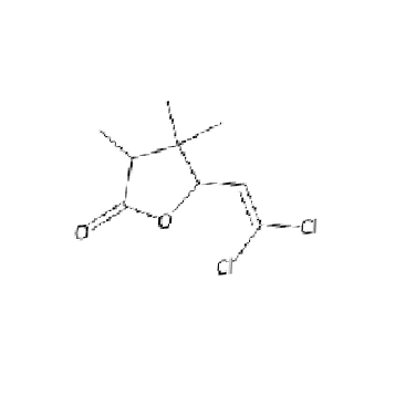 CC1C(=O)OC(C=C(Cl)Cl)C1(C)C